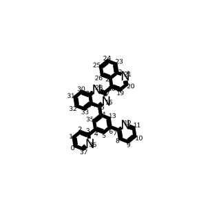 c1ccc(-c2cc(-c3ccccn3)cc(-c3nc(-c4ccnc5ccccc45)nc4ccccc34)c2)nc1